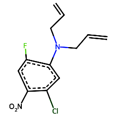 C=CCN(CC=C)c1cc(Cl)c([N+](=O)[O-])cc1F